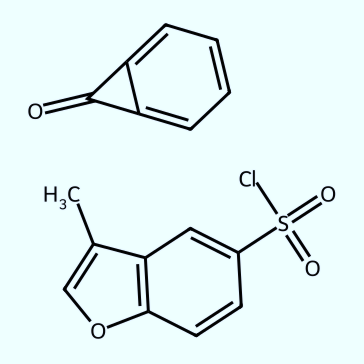 Cc1coc2ccc(S(=O)(=O)Cl)cc12.O=c1c2ccccc12